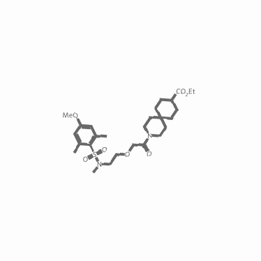 CCOC(=O)C1CCC2(CC1)CCN(C(=O)COCCN(C)S(=O)(=O)c1c(C)cc(OC)cc1C)CC2